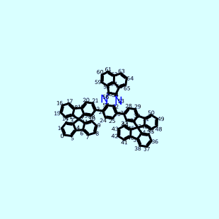 c1ccc2c(c1)-c1ccccc1C21c2ccccc2-c2ccc(-c3ccc(-c4ccc5c(c4)C4(c6ccccc6-c6ccccc64)c4ccccc4-5)c4nc5c(nc34)-c3cccc4cccc-5c34)cc21